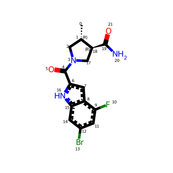 C[C@H]1CN(C(=O)c2cc3c(F)cc(Br)cc3[nH]2)C[C@@H]1C(N)=O